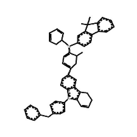 CC1CC(c2ccc3c(c2)c2c(n3-c3ccc(Cc4ccccc4)cc3)C=CCC2)=CC=C1N(c1ccc2c(c1)C(C)(C)c1ccccc1-2)C1C=CC=CC1